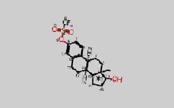 C[C@]12CC[C@@H]3c4ccc(OS(=O)(=O)C(F)(F)F)cc4CC[C@H]3[C@@H]1CC[C@@H]2O